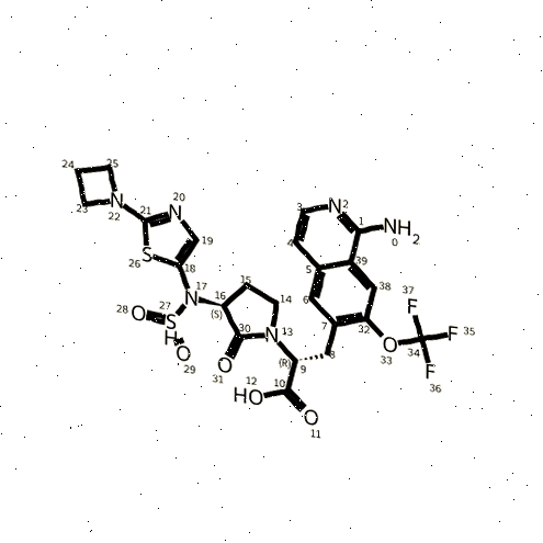 Nc1nccc2cc(C[C@H](C(=O)O)N3CC[C@H](N(c4cnc(N5CCC5)s4)[SH](=O)=O)C3=O)c(OC(F)(F)F)cc12